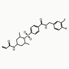 C=CC(=O)NC1CC(C)N(S(=O)(=O)c2ccc(C(=O)NCc3ccc(F)c(F)c3)cc2)C(C)C1